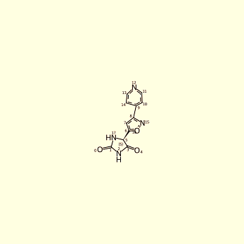 O=C1NC(=O)[C@H](c2cc(-c3ccncc3)no2)N1